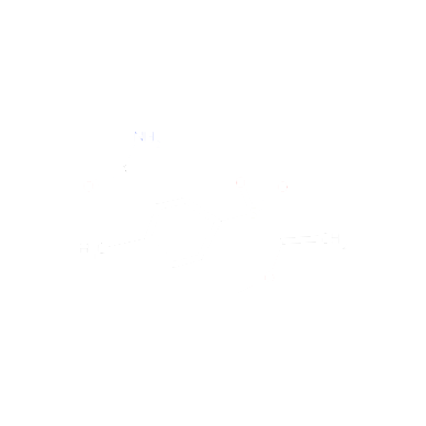 C=C1OCc2cc(C)c(C(N)=O)cc2S1(=O)=O